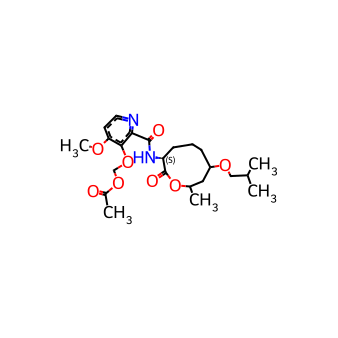 COc1ccnc(C(=O)N[C@H]2CCCC(OCC(C)C)CC(C)OC2=O)c1OCOC(C)=O